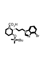 CC(C)(C)[Si](C)(C)O[C@H]1CCCN(C(=O)O)[C@@H]1CCCn1cnc2c(Br)cccc21